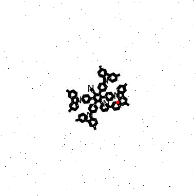 Cc1ccc2c(c1)c1cc(C)ccc1n2-c1ccc(-c2c(C#N)c(-c3ccc(-n4c5ccc(C)cc5c5cc(C)ccc54)cc3)c(-c3ccc(-n4c5ccc(C)cc5c5cc(C)ccc54)cc3)c(-c3cccc(-c4ccccc4)n3)c2-c2ccc(-n3c4ccc(C)cc4c4cc(C)ccc43)cc2)cc1